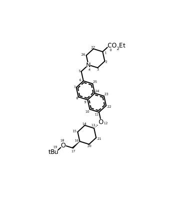 CCOC(=O)C1CCN(Cc2ccc3cc(O[C@H]4CC[C@H](COC(C)(C)C)CC4)ccc3c2)CC1